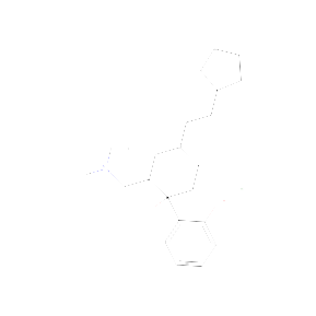 CN(C)CC1CC(CCC2CCCC2)CCC1(O)c1ccccc1O.Cl